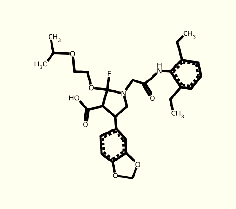 CCc1cccc(CC)c1NC(=O)CN1CC(c2ccc3c(c2)OCO3)C(C(=O)O)C1(F)OCCOC(C)C